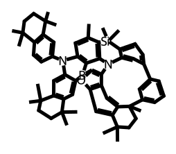 Cc1cc2c3c4c1[Si](C)(C)c1ccc5cc1N4c1c(oc4cc6c(cc14)C(C)(CCC6(C)C)c1cccc-5c1)B3c1cc3c(cc1N2c1ccc2c(c1)C(C)(C)CCC2(C)C)C(C)(C)CCC3(C)C